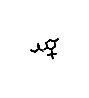 CCC(=O)OC1CCC(C)CC1C(C)(C)C